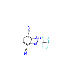 N#Cc1ccc(C#N)c2[nH]c(C(F)(F)C(F)(F)F)nc12